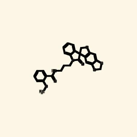 O=C(NCCCN1C(=O)C2(COc3cc4c(cc32)OCO4)c2ccccc21)c1ccccc1OC(F)(F)F